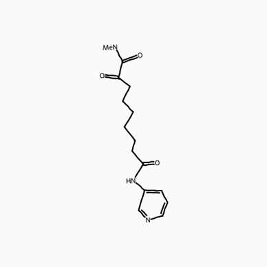 CNC(=O)C(=O)CCCCCCC(=O)Nc1cccnc1